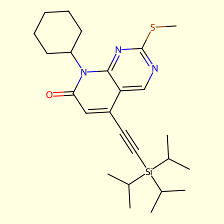 CSc1ncc2c(C#C[Si](C(C)C)(C(C)C)C(C)C)cc(=O)n(C3CCCCC3)c2n1